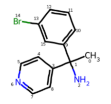 CC(N)(c1ccncc1)c1cccc(Br)c1